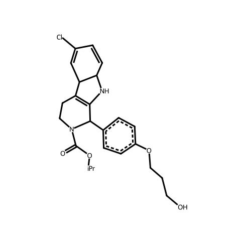 CC(C)OC(=O)N1CCC2=C(NC3C=CC(Cl)=CC23)C1c1ccc(OCCCO)cc1